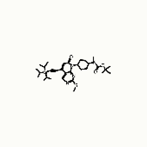 CSc1ncc2c(C#C[Si](C(C)C)(C(C)C)C(C)C)cc(=O)n(C3CCC(NC(=O)OC(C)(C)C)CC3)c2n1